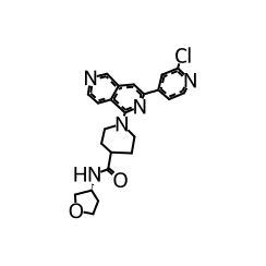 O=C(N[C@@H]1CCOC1)C1CCN(c2nc(-c3ccnc(Cl)c3)cc3cnccc23)CC1